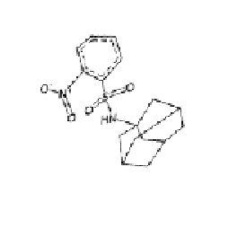 O=[N+]([O-])c1ccccc1S(=O)(=O)NC12CC3CC(CC(C3)C1)C2